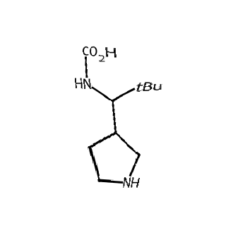 CC(C)(C)C(NC(=O)O)C1CCNC1